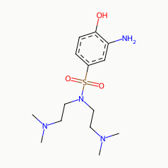 CN(C)CCN(CCN(C)C)S(=O)(=O)c1ccc(O)c(N)c1